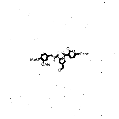 CCCCCc1ccc(C(=O)N2CC(=CCl)C[C@H]2C(=O)NCc2ccc(OC)c(OC)c2)c(=O)o1